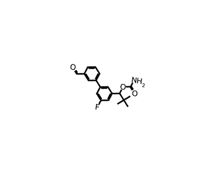 CC(C)(C)C(OC(N)=O)c1cc(F)cc(-c2cccc(C=O)c2)c1